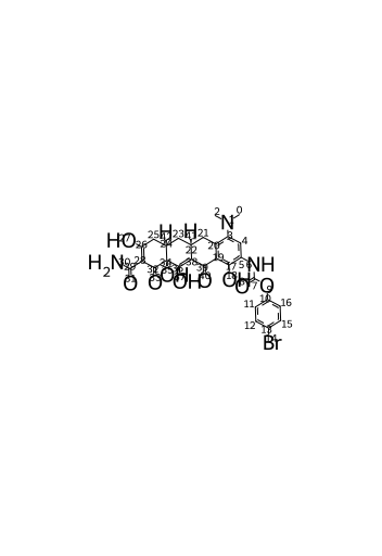 CN(C)c1cc(NC(=O)Oc2ccc(Br)cc2)c(O)c2c1C[C@H]1C[C@H]3CC(O)=C(C(N)=O)C(=O)[C@@]3(O)C(O)=C1C2=O